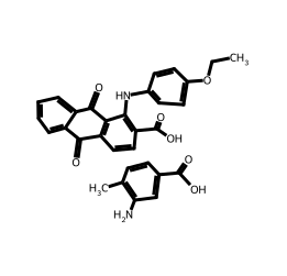 CCOc1ccc(Nc2c(C(=O)O)ccc3c2C(=O)c2ccccc2C3=O)cc1.Cc1ccc(C(=O)O)cc1N